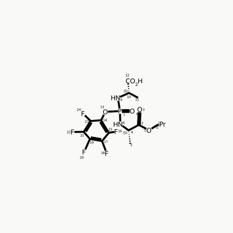 CC(C)OC(=O)[C@H](C)NP(=O)(N[C@@H](C)C(=O)O)Oc1c(F)c(F)c(F)c(F)c1F